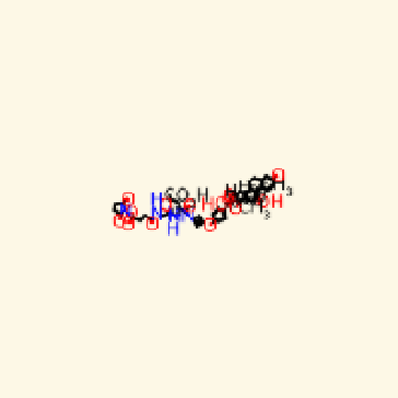 C[C@]12C=CC(=O)C=C1CC[C@@H]1[C@@H]2[C@@H](O)C[C@@]2(C)[C@H]1C[C@H]1O[C@@H](c3ccc(OC45CC(NC(=O)[C@H](CCC(=O)O)NC(=O)CNC(=O)CCC(=O)ON6C(=O)CCC6=O)(C4)C5)cc3)O[C@]12C(=O)CO